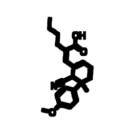 CCCCC(=CC1=CC=CC(C)(c2ccc(OC)cc2)C1C#N)C(=O)O